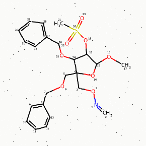 C=NOCC1(COCc2ccccc2)OC(OC)C(OS(C)(=O)=O)C1OCc1ccccc1